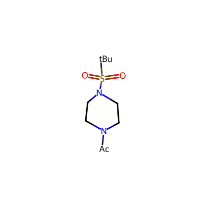 CC(=O)N1CCN(S(=O)(=O)C(C)(C)C)CC1